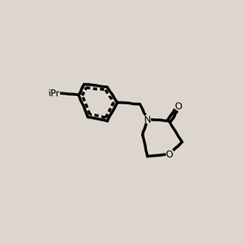 CC(C)c1ccc(CN2CCOCC2=O)cc1